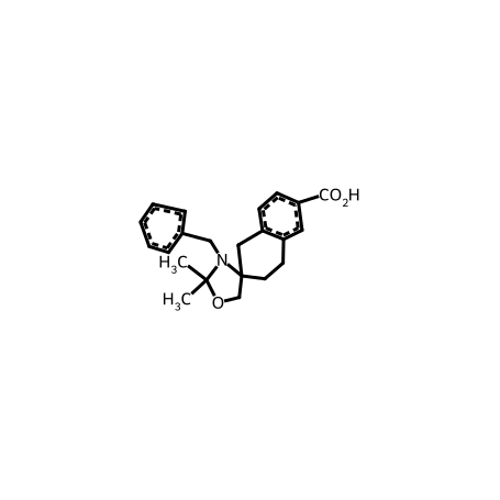 CC1(C)OCC2(CCc3cc(C(=O)O)ccc3C2)N1Cc1ccccc1